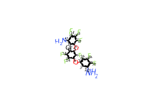 Nc1cc(Oc2cc(Oc3cc(N)c(F)c(F)c3F)c(C(F)(F)F)c(F)c2F)c(F)c(F)c1F